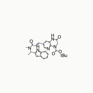 CC(c1cc2ccccc2[nH]1)N(C)C(=O)/C=C/c1cnc2c(c1)NC(=O)CN2C(=O)OC(C)(C)C